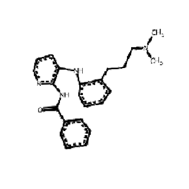 CN(C)CCCc1ccccc1Nc1cccnc1NC(=O)c1ccccc1